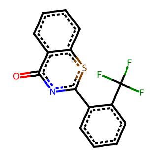 O=c1nc(-c2ccccc2C(F)(F)F)sc2ccccc12